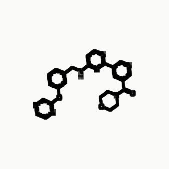 O=C(c1cncc(-c2nccc(NCc3cccc(Oc4cnccn4)c3)n2)c1)N1CCOCC1